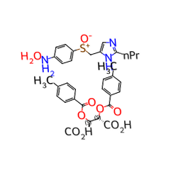 CCCc1ncc(C[S+]([O-])c2ccc(N)cc2)[nH]1.Cc1ccc(C(=O)O[C@H](C(=O)O)[C@H](OC(=O)c2ccc(C)cc2)C(=O)O)cc1.O